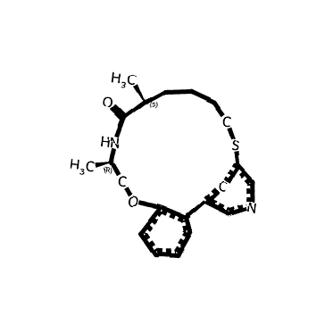 C[C@@H]1COc2ccccc2-c2cncc(c2)SCCCC[C@H](C)C(=O)N1